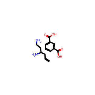 C=CCC(N)CCN.O=C(O)c1cccc(C(=O)O)c1